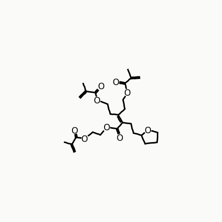 C=C(C)C(=O)OCCOC(=O)C(CCC1CCCO1)=C(CCOC(=O)C(=C)C)CCOC(=O)C(=C)C